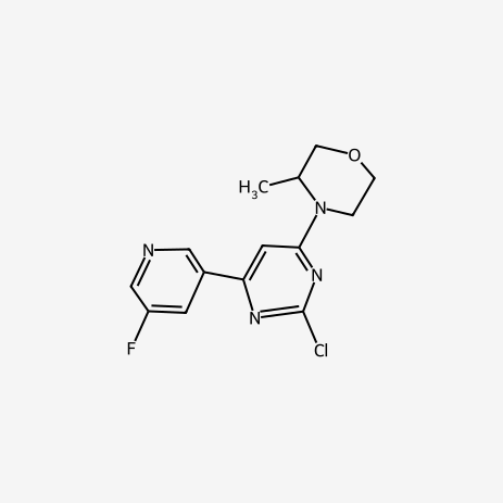 CC1COCCN1c1cc(-c2cncc(F)c2)nc(Cl)n1